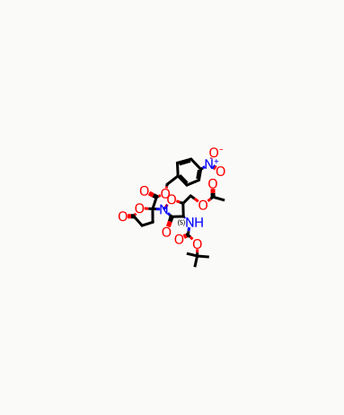 CC(=O)OCC1ON(C2(C(=O)OCc3ccc([N+](=O)[O-])cc3)CCC(=O)O2)C(=O)[C@H]1NC(=O)OC(C)(C)C